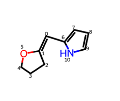 C(=C1CCCO1)c1ccc[nH]1